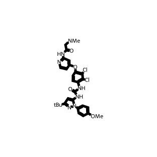 CNCC(=O)Nc1cc(Oc2ccc(NC(=O)Nc3cc(C(C)(C)C)nn3-c3ccc(OC)cc3)c(Cl)c2Cl)ccn1